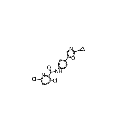 O=C(Nc1ccc(-c2cnc(C3CC3)o2)cc1)c1nc(Cl)ccc1Cl